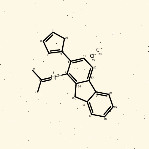 C[C](C)=[Hf+2][c]1c(C2=CC=CC2)ccc2c1Cc1ccccc1-2.[Cl-].[Cl-]